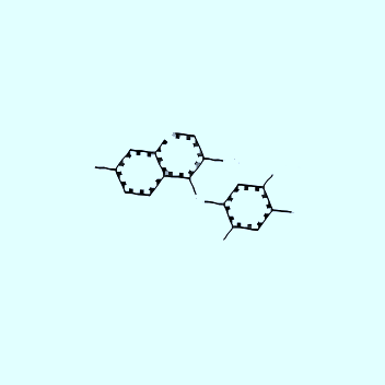 COc1cc(Nc2c(C#N)cnc3cc(Br)ccc23)c(C)cc1Cl